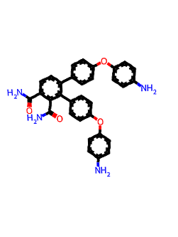 NC(=O)c1ccc(-c2ccc(Oc3ccc(N)cc3)cc2)c(-c2ccc(Oc3ccc(N)cc3)cc2)c1C(N)=O